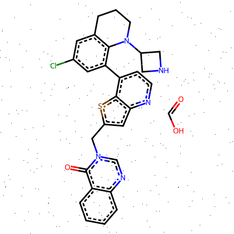 O=CO.O=c1c2ccccc2ncn1Cc1cc2nccc(-c3cc(Cl)cc4c3N(C3CNC3)CCC4)c2s1